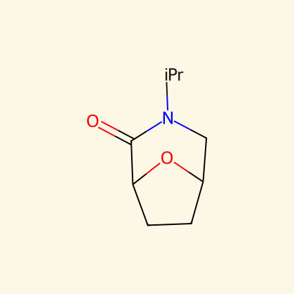 CC(C)N1CC2CCC(O2)C1=O